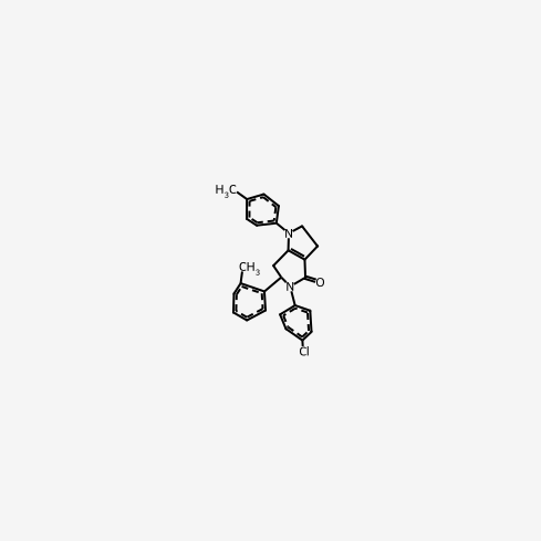 Cc1ccc(N2CCC3=C2CC(c2ccccc2C)N(c2ccc(Cl)cc2)C3=O)cc1